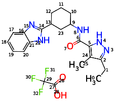 CCc1n[nH]c(C(=O)NC2CCCC(c3nc4ccccc4[nH]3)C2)c1C.O=C(O)C(F)(F)F